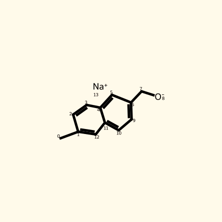 Cc1ccc2cc(C[O-])ccc2c1.[Na+]